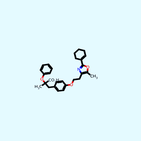 Cc1oc(C2=CCCCC2)nc1CCOc1ccc(CC(C)(Oc2ccccc2)C(=O)O)cc1